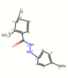 CNc1ccc(NNC(=O)c2ccc(C(C)=O)cc2S(=O)(=O)O)cc1